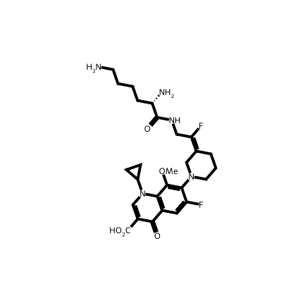 COc1c(N2CCC/C(=C(\F)CNC(=O)[C@@H](N)CCCCN)C2)c(F)cc2c(=O)c(C(=O)O)cn(C3CC3)c12